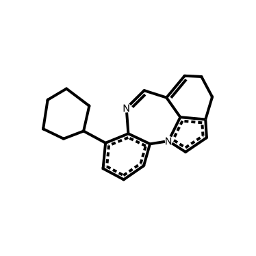 C1=Nc2c(C3CCCCC3)cccc2-n2ccc3c2C1=CCC3